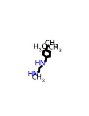 CNCCCNCc1ccc(C(C)(C)C)cc1